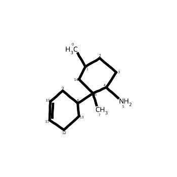 CC1CCC(N)C(C)(C2CC=CCC2)C1